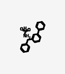 N[SH](=O)=O.c1ccc(Cc2cccc(-c3ccccc3)c2)cc1